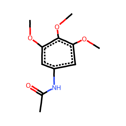 COc1cc(NC(C)=O)cc(OC)c1OC